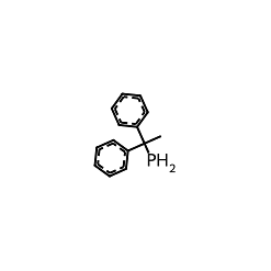 CC(P)(c1ccccc1)c1ccccc1